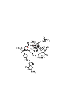 CO[C@]12[C@H](C)NCN1C1=C(C(=O)C(NC(C)(C)CCSSC[C@H](NC(=O)[C@H](CC=O)NC(=O)[C@H](CCCNC(N)=O)NC(=O)[C@H](CC=O)NC(C)(C)C(=O)CC[C@H](NC(=O)c3ccc(NCc4cnc5nc(N)[nH]c(=O)c5n4)cc3)C(=O)O)C(=O)O)=C(C)C1=O)[C@H]2COC(N)=O